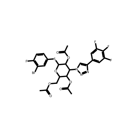 CC(=O)OCC1OC(Sc2ccc(F)c(Br)c2)C(OC(C)=O)C(n2cc(-c3cc(F)c(F)c(F)c3)nn2)C1OC(C)=O